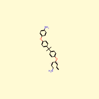 C=C/C=C(\C=C/CN)Oc1ccc(C(C)(C)c2ccc(Oc3ccc(N)cc3)cc2)cc1